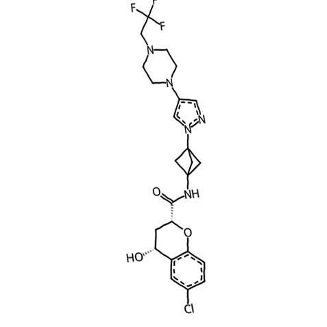 O=C(NC12CC(n3cc(N4CCN(CC(F)(F)F)CC4)cn3)(C1)C2)[C@H]1C[C@@H](O)c2cc(Cl)ccc2O1